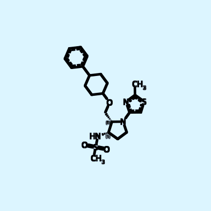 Cc1nc(N2CC[C@H](NS(C)(=O)=O)[C@@H]2COC2CCC(c3ccccc3)CC2)cs1